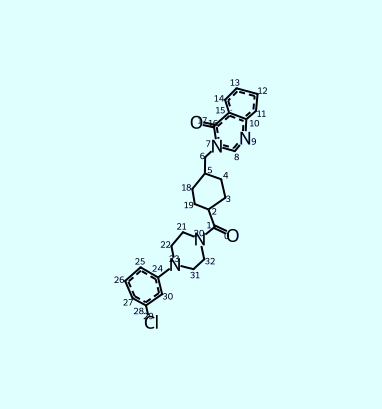 O=C(C1CCC(Cn2cnc3ccccc3c2=O)CC1)N1CCN(c2cccc(Cl)c2)CC1